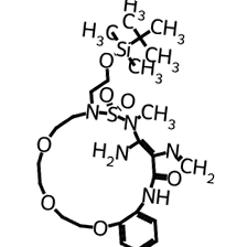 C=N/C1=C(/N)N(C)S(=O)(=O)N(CCO[Si](C)(C)C(C)(C)C)CCOCCOCCOc2ccccc2NC1=O